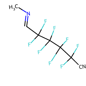 CN=CC(F)(F)C(F)(F)C(F)(F)C(F)(F)C#N